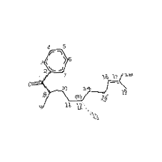 C=C(c1ccccc1)C(C)CC[C@@H](C)CCC=C(C)C